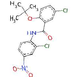 CC(C)(C)Oc1ccc(Cl)cc1C(=O)Nc1ccc([N+](=O)[O-])cc1Cl